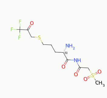 CS(=O)(=O)CC(=O)NC(=O)[C@@H](N)CCCSCC(=O)C(F)(F)F